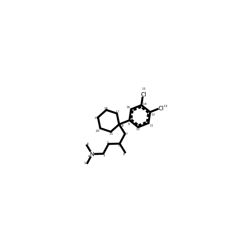 CC(CCN(C)C)CC1(c2ccc(Cl)c(Cl)c2)CCCCC1